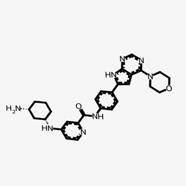 N[C@@H]1CCC[C@H](Nc2ccnc(C(=O)Nc3ccc(-c4cc5c(N6CCOCC6)ncnc5[nH]4)cc3)c2)C1